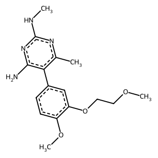 CNc1nc(C)c(-c2ccc(OC)c(OCCOC)c2)c(N)n1